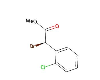 COC(=O)[C@H](Br)c1ccccc1Cl